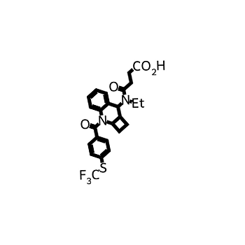 CCN(C(=O)CCC(=O)O)C1c2ccccc2N(C(=O)c2ccc(SC(F)(F)F)cc2)C2CCC12